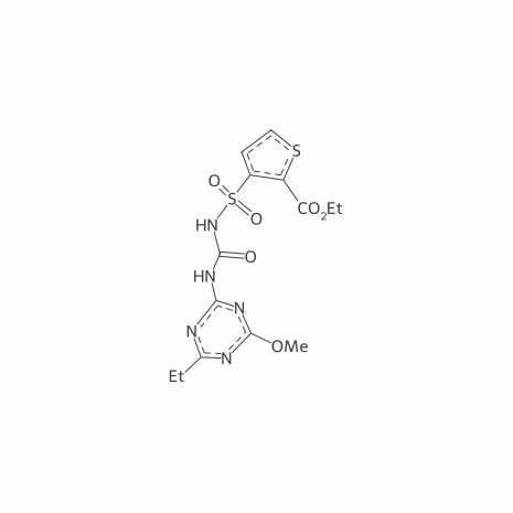 CCOC(=O)c1sccc1S(=O)(=O)NC(=O)Nc1nc(CC)nc(OC)n1